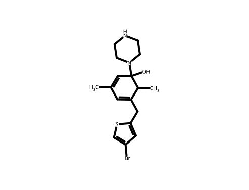 CC1=CC(O)(N2CCNCC2)C(C)C(Cc2cc(Br)cs2)=C1